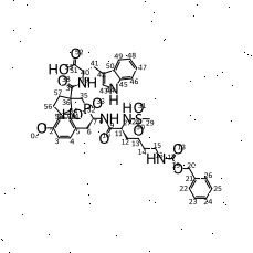 COc1ccc(C[C@H](NC(=O)[C@H](CCCCNC(=O)OCc2ccccc2)NS(C)(=O)=O)[P@@](=O)(O)CC2(C(=O)N[C@@H](Cc3c[nH]c4ccccc34)C(=O)O)CCCC2)cc1